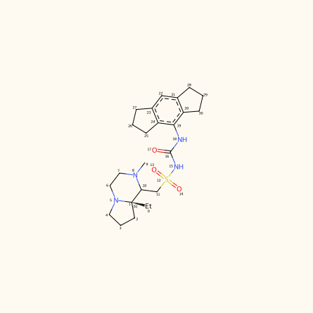 CC[C@@]12CCCN1CCN(C)C2CS(=O)(=O)NC(=O)Nc1c2c(cc3c1CCC3)CCC2